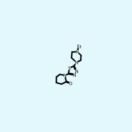 CCN1CCN(c2nnc(N3CCCCC3=O)s2)CC1